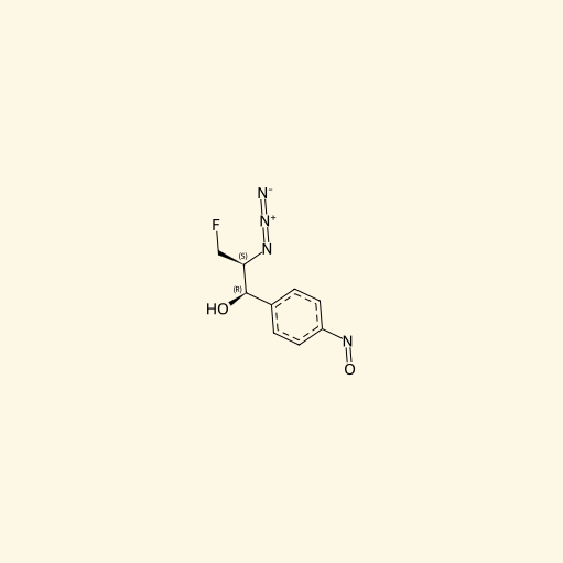 [N-]=[N+]=N[C@H](CF)[C@H](O)c1ccc(N=O)cc1